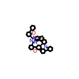 c1ccc(-c2nc(-c3cccc4c3oc3ccccc34)nc(-c3cccc4oc5ccc(-c6c(-n7c8ccccc8c8ccccc87)ccc7sc8ccccc8c67)cc5c34)n2)cc1